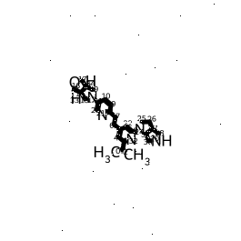 CC(C)c1cc(CCc2ccc(N3C[C@H]4COC[C@H]4C3)cn2)cc(N2CCC3CNCC32)n1